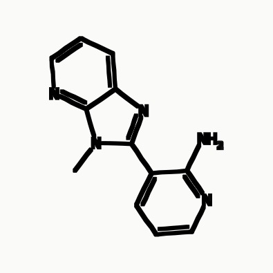 Cn1c(-c2cccnc2N)nc2cccnc21